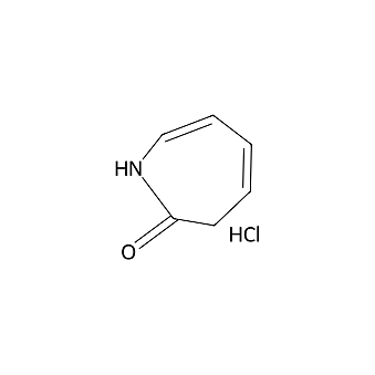 Cl.O=C1CC=CC=CN1